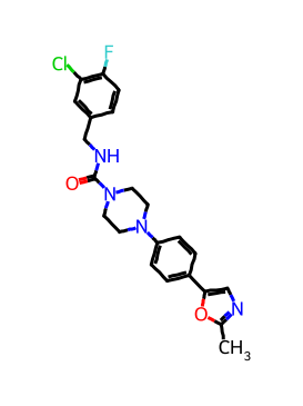 Cc1ncc(-c2ccc(N3CCN(C(=O)NCc4ccc(F)c(Cl)c4)CC3)cc2)o1